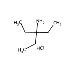 Cl.[CH2]CC(N)(CC)CC